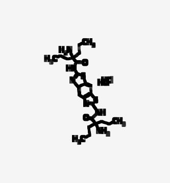 CCCC(N)(CCC)C(=O)Nc1nc2cc3nc(NC(=O)C(N)(CCC)CCC)sc3cc2s1.Cl.Cl